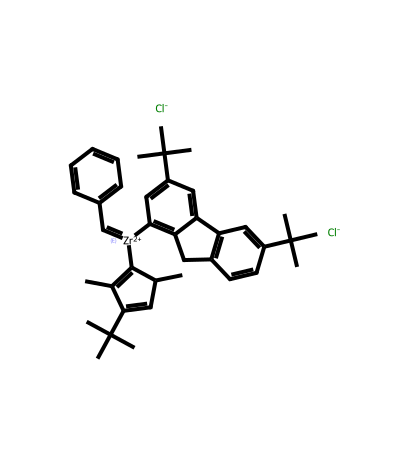 CC1=[C](/[Zr+2](=[CH]/c2ccccc2)[c]2cc(C(C)(C)C)cc3c2Cc2ccc(C(C)(C)C)cc2-3)C(C)C=C1C(C)(C)C.[Cl-].[Cl-]